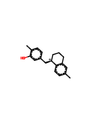 Cc1ccc2c(c1)CCC[C@@H]2Cc1ccc(C)c(O)c1